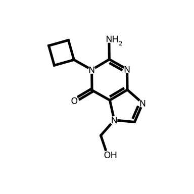 Nc1nc2ncn(CO)c2c(=O)n1C1CCC1